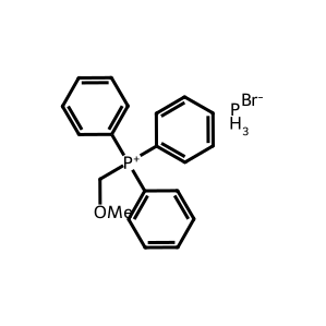 COC[P+](c1ccccc1)(c1ccccc1)c1ccccc1.P.[Br-]